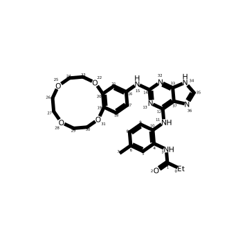 CCC(=O)Nc1cc(C)ccc1Nc1nc(Nc2ccc3c(c2)OCCOCCOCCO3)nc2[nH]cnc12